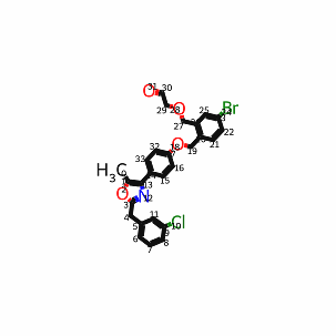 Cc1oc(Cc2cccc(Cl)c2)nc1-c1ccc(OCc2ccc(Br)cc2COCC=O)cc1